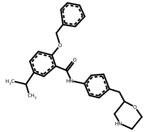 CC(C)c1ccc(OCc2ccccc2)c(C(=O)Nc2ccc(CC3CNCCO3)cc2)c1